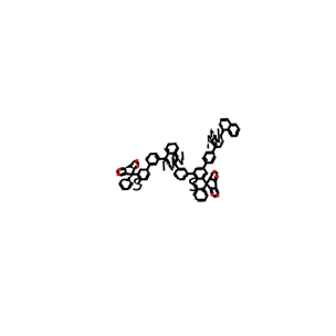 c1cc(-c2nc(-c3cccc(-c4ccc5c(c4)C4(c6ccccc6S5)c5ccccc5-c5ccccc54)c3)c3ccccc3n2)cc(-c2cc(-c3ccc(-c4ccc(-c5cccc6ccccc56)nn4)cc3)cc3c2Sc2ccccc2C32c3ccccc3-c3ccccc32)c1